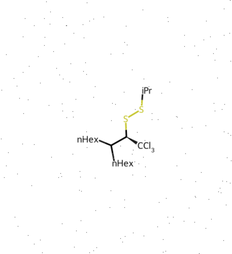 CCCCCCC(CCCCCC)[C@@H](SSC(C)C)C(Cl)(Cl)Cl